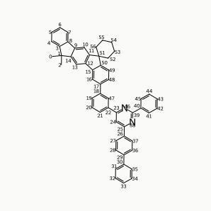 CC1(C)c2ccccc2-c2cc3c(cc21)-c1cc(-c2cccc(-c4cc(-c5ccc(-c6ccccc6)cc5)nc(-c5ccccc5)n4)c2)ccc1C31CCCCC1